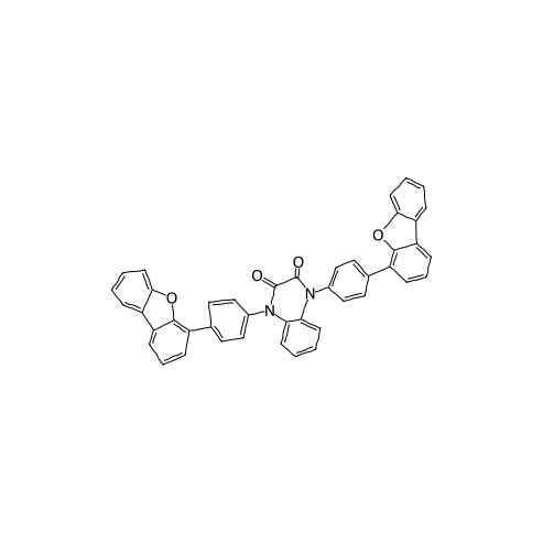 O=c1c(=O)n(-c2ccc(-c3cccc4c3oc3ccccc34)cc2)c2ccccc2n1-c1ccc(-c2cccc3c2oc2ccccc23)cc1